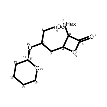 CCCCCCCCCCCC(CC1OC(=O)C1CCCCCC)O[C@@H]1CCCCO1